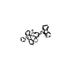 c1ccc(N2c3cccc4c3B3c5c(cc(-n6c7ccccc7c7ccccc76)cc5Sc5cccc2c53)O4)cc1